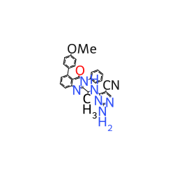 COc1ccc(-c2cccc3nc([C@H](C)Nc4nc(N)ncc4C#N)n(-c4ccccc4)c(=O)c23)cc1